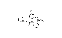 CN1C(=O)c2cc(Cl)ccc2N(C(=O)CCN2CCOCC2)c2ccccc21